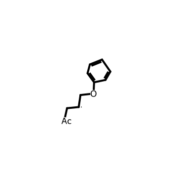 CC(=O)C[CH]COc1ccccc1